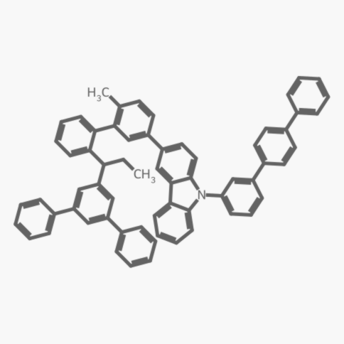 CCC(c1cc(-c2ccccc2)cc(-c2ccccc2)c1)c1ccccc1-c1cc(-c2ccc3c(c2)c2ccccc2n3-c2cccc(-c3ccc(-c4ccccc4)cc3)c2)ccc1C